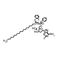 C#C[C@]1(CO[P@](=O)(N[C@@H](Cc2ccccc2)C(=O)OCCCCCCCCCCCCCCCCCC)Oc2ccccc2)O[C@@H](n2cnc3c(N)nc(F)nc32)C[C@@H]1O